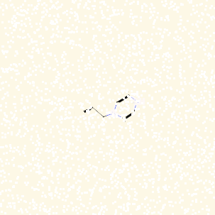 C=CCN1C=CNC=C1